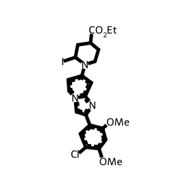 CCOC(=O)C1CCN(c2ccn3cc(-c4cc(Cl)c(OC)cc4OC)nc3c2)C(I)C1